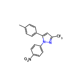 Cc1ccc(-c2cc(C(F)(F)F)nn2-c2ccc([N+](=O)[O-])cc2)cc1